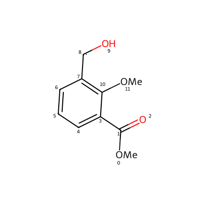 COC(=O)c1cccc([CH]O)c1OC